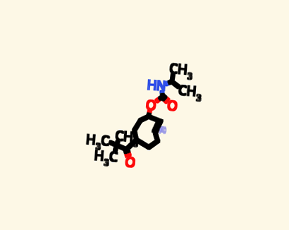 CC(C)NC(=O)OC1/C=C/CCC(C(=O)C(C)(C)C)CC1